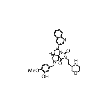 COc1ccc(CN2C[C@@H]3C[C@@H](c4cnc5ccccc5c4)N4C(=O)N(CCC5COCCN5)C(=O)C34C2)cc1O